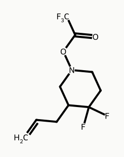 C=CCC1CN(OC(=O)C(F)(F)F)CCC1(F)F